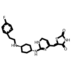 O=C1NC(=O)/C(=C/C2=CCNC(N[C@H]3CC[C@H](NCCc4ccc(F)cc4)CC3)=N2)S1